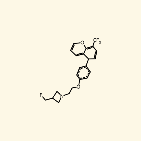 FCC1CN(CCOc2ccc(C3C=CC(C(F)(F)F)=C4OC=CC=C43)cc2)C1